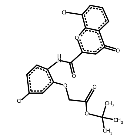 CC(C)(C)OC(=O)COc1cc(Cl)ccc1NC(=O)c1cc(=O)c2cccc(Cl)c2o1